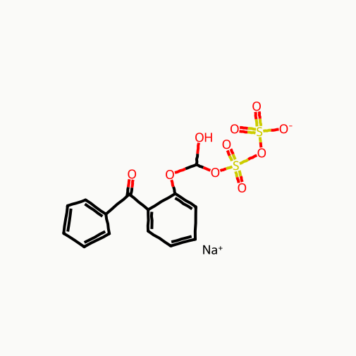 O=C(c1ccccc1)c1ccccc1OC(O)OS(=O)(=O)OS(=O)(=O)[O-].[Na+]